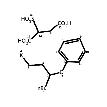 CCCCC(C[CH2][K])Oc1ccccc1.O=C(O)CC(C(=O)O)S(=O)(=O)O